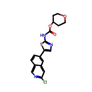 O=C(Nc1ncc(-c2ccc3cnc(Cl)cc3c2)s1)OC1CCOCC1